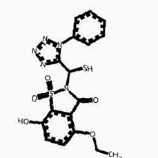 CCOc1ccc(O)c2c1C(=O)N(C(S)c1nnnn1-c1ccccc1)S2(=O)=O